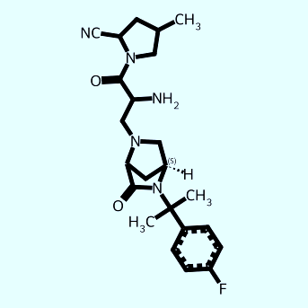 CC1CC(C#N)N(C(=O)C(N)CN2C[C@@H]3CC2C(=O)N3C(C)(C)c2ccc(F)cc2)C1